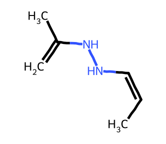 C=C(C)NN/C=C\C